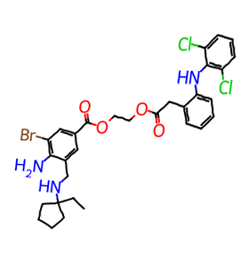 CCC1(NCc2cc(C(=O)OCCOC(=O)Cc3ccccc3Nc3c(Cl)cccc3Cl)cc(Br)c2N)CCCC1